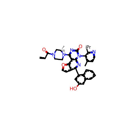 C=CC(=O)N1CCN(c2nc(=O)n(-c3c(C)ccnc3C(C)C)c3nc(-c4cc(O)cc5ccccc45)c4ccoc4c23)[C@@H](C)C1